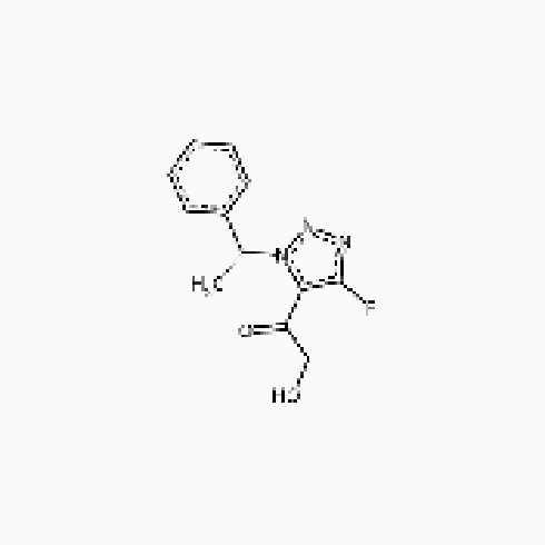 C[C@H](c1ccccc1)n1nnc(F)c1C(=O)CO